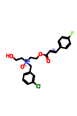 O=C(/C=C/c1ccc(F)cc1)OCC[N@@+]([O-])(CCO)Cc1cccc(Cl)c1